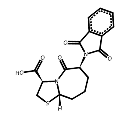 O=C(O)[C@@H]1CS[C@H]2CCC[C@H](N3C(=O)c4ccccc4C3=O)C(=O)N21